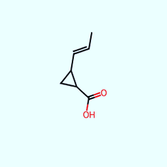 CC=CC1CC1C(=O)O